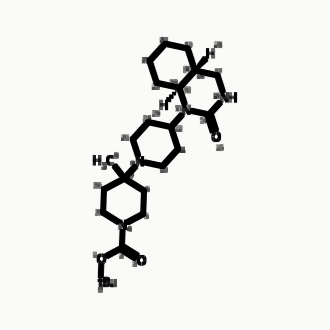 CC(C)(C)OC(=O)N1CCC(C)(N2CCC(N3C(=O)NC[C@H]4CCCC[C@@H]43)CC2)CC1